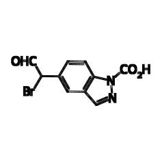 O=CC(Br)c1ccc2c(cnn2C(=O)O)c1